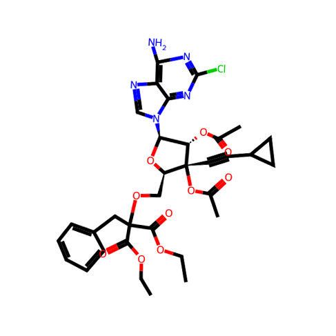 CCOC(=O)C(Cc1ccccc1)(OC[C@H]1O[C@@H](n2cnc3c(N)nc(Cl)nc32)[C@H](OC(C)=O)[C@]1(C#CC1CC1)OC(C)=O)C(=O)OCC